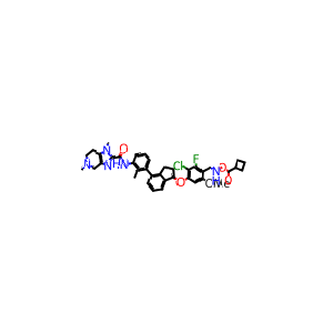 COc1cc(OC2CCc3c(-c4cccc(NC(=O)c5nc6c(n5C)CCN(C)C6)c4C)cccc32)c(Cl)c(F)c1CNOC(=O)C1CCC1